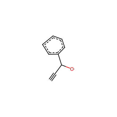 C#CC([O])c1ccccc1